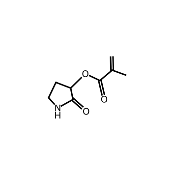 C=C(C)C(=O)OC1CCNC1=O